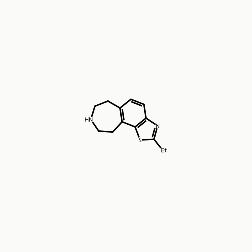 CCc1nc2ccc3c(c2s1)CCNCC3